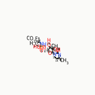 CCOC(=O)[C@H](C)NP(=O)(O)OC[C@H]1O[C@@H](n2ccc(C)nc2=O)[C@](C)(O)[C@@H]1O